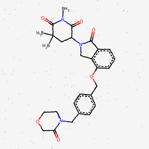 BN1C(=O)C(N2Cc3c(OCc4ccc(CN5CCOCC5=O)cc4)cccc3C2=O)CC(B)(B)C1=O